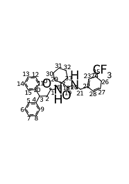 O=C(CC(c1ccccc1)c1ccccc1)NC1(C(=O)NCC2=CC(C(F)(F)F)CC=C2)CCCCC1